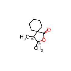 C[C@@H]1OC(=O)C2(CCCCC2)[C@@H]1C